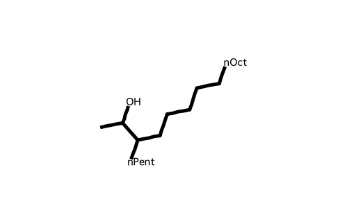 CCCCCCCCCCCCCC(CCCCC)C(C)O